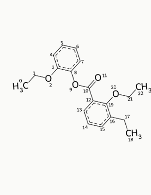 CCOc1ccccc1OC(=O)c1cccc(CC)c1OCC